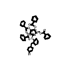 CCc1ccc(Cc2ccccc2O[C@@H]2S[C@H](COC(=O)c3ccccc3)[C@@H](OC(=O)c3ccccc3)[C@H](OC(=O)c3ccccc3)[C@H]2OC(=O)c2ccccc2)cc1